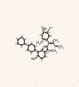 C=C/C(C)=C(\c1sc2c(-c3ccc(-c4ccccc4)cc3)c(C#N)ccc2c1C)c1cc(F)c(C(C)(C)C)c[n+]1C